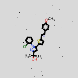 COc1ccc(/C=C/c2ccc(-c3cc(C(C)(C)O)nn3-c3ccccc3Cl)s2)cc1